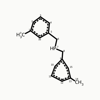 Cc1cccc(CPCc2cccc(C)c2)c1